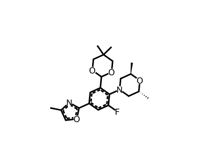 Cc1coc(-c2cc(F)c(N3C[C@@H](C)O[C@H](C)C3)c(C3OCC(C)(C)CO3)c2)n1